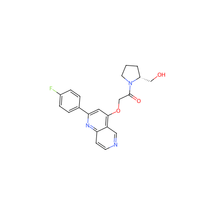 O=C(COc1cc(-c2ccc(F)cc2)nc2ccncc12)N1CCC[C@@H]1CO